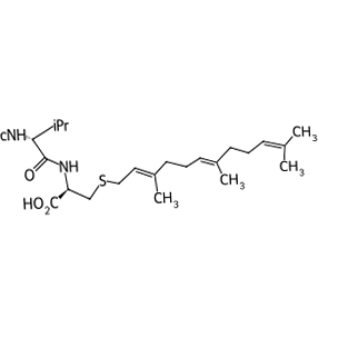 CC(=O)N[C@@H](C(=O)N[C@@H](CSC/C=C(\C)CC/C=C(\C)CCC=C(C)C)C(=O)O)C(C)C